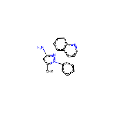 Nc1cc(C=O)n(-c2ccccc2)n1.c1ccc2ncccc2c1